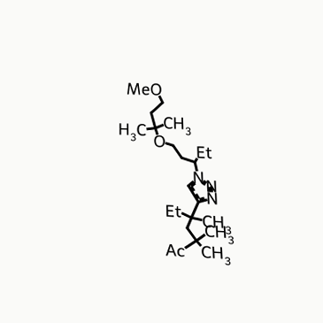 CCC(CCOC(C)(C)CCOC)n1cc(C(C)(CC)CC(C)(C)C(C)=O)nn1